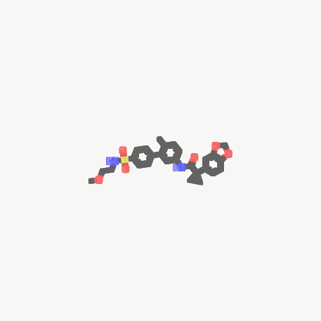 COCCNS(=O)(=O)c1ccc(-c2cc(NC(=O)C3(c4ccc5c(c4)OCO5)CC3)ccc2C)cc1